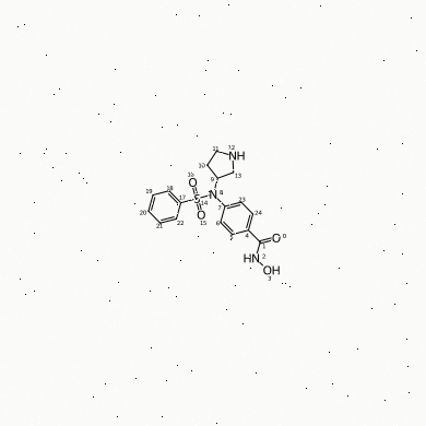 O=C(NO)c1ccc(N(C2CCNC2)S(=O)(=O)c2ccccc2)cc1